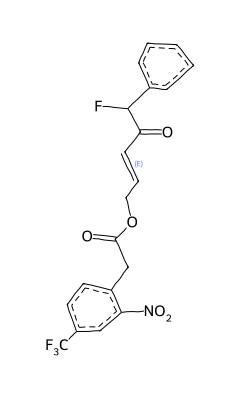 O=C(Cc1ccc(C(F)(F)F)cc1[N+](=O)[O-])OC/C=C/C(=O)C(F)c1ccccc1